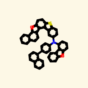 c1ccc2c(-c3ccc(N(c4ccc5sc6ccc7oc8c9ccccc9ccc8c7c6c5c4)c4cccc5oc6ccccc6c45)cc3)cccc2c1